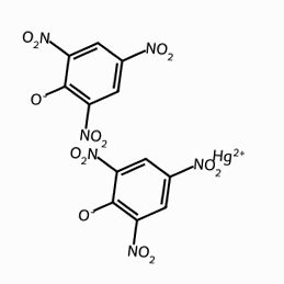 O=[N+]([O-])c1cc([N+](=O)[O-])c([O-])c([N+](=O)[O-])c1.O=[N+]([O-])c1cc([N+](=O)[O-])c([O-])c([N+](=O)[O-])c1.[Hg+2]